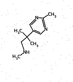 CNCC(C)(C)c1cnc(C)nc1